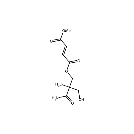 COC(=O)/C=C/C(=O)OCC(C)(CO)C(N)=O